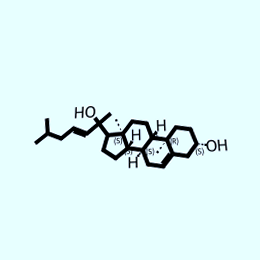 CC(C)CC=CC(C)(O)C1CC[C@H]2[C@@H]3CC=C4C[C@@H](O)CC[C@]4(C)[C@H]3CC[C@]12C